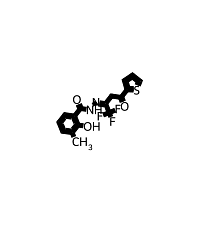 Cc1cccc(C(=O)NN=C(CC(=O)c2cccs2)C(F)(F)F)c1O